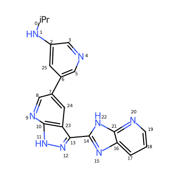 CC(C)Nc1cncc(-c2cnc3[nH]nc(-c4nc5cccnc5[nH]4)c3c2)c1